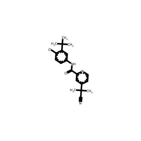 CC(C)(C)c1cc(NC(=O)c2cc(C(C)(C)C#N)ccn2)ccc1Cl